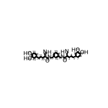 N#C/C(=C\C=C\c1ccc(O)c(O)c1)C(=O)NCc1cccc(CNC(=O)/C(C#N)=C/C=C/c2ccc(O)c(O)c2)c1